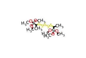 CO[Si](OC)(OC)C(C)SSSSSC(C)[Si](OC)(OC)OC